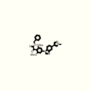 COc1cc(-n2cnc3cc(-c4cnn(C)c4)ccc32)cc(OC)c1C(=O)C(=O)OCc1ccccc1